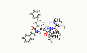 CN[C@@H](C)C(=O)N[C@H](C(=O)N1CCC[C@H]1CN(CCc1ccccc1)C(=O)CCCc1ccccc1)C(C)(C)C